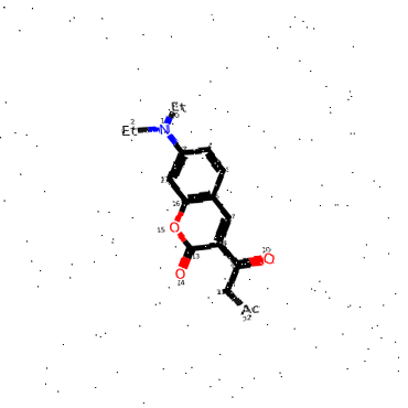 CCN(CC)c1ccc2cc(C(=O)CC(C)=O)c(=O)oc2c1